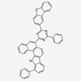 c1ccc(-c2nc(-c3ccc4oc5ccccc5c4c3)nc(-c3cc4ccccc4c4c3ccc3c5cccc(-c6ccccc6)c5[se]c34)n2)cc1